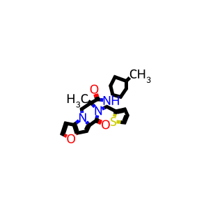 CC1CCC(NC(=O)C2(C)Cn3c(cc4occc43)C(=O)N2Cc2cccs2)CC1